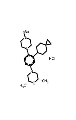 CCCCN1CCN(c2ccc(N3C[C@@H](C)O[C@@H](C)C3)cc2C2CCC3(CC2)CC3)CC1.Cl